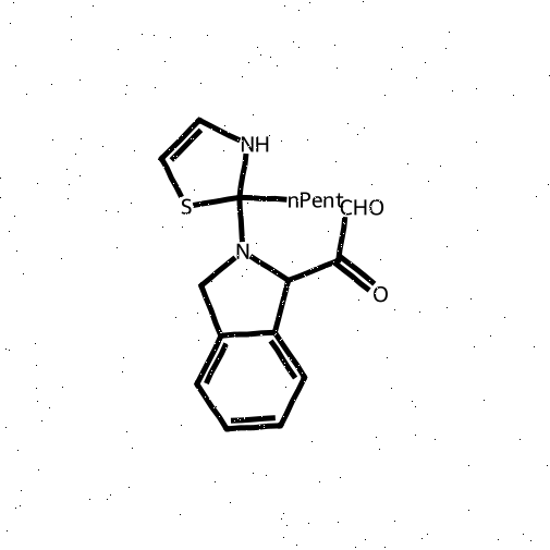 CCCCCC1(N2Cc3ccccc3C2C(=O)C=O)NC=CS1